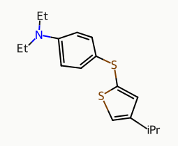 CCN(CC)c1ccc(Sc2cc(C(C)C)cs2)cc1